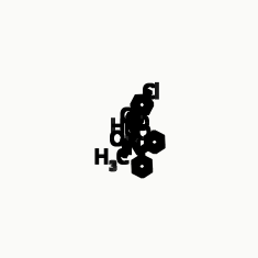 CC1C(=O)N(C(=O)NS(=O)(=O)c2ccc(Cl)cc2)N1C(c1ccccc1)c1ccccc1